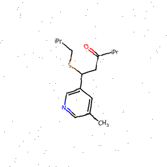 Cc1cncc(C(CC(=O)C(C)C)SCC(C)C)c1